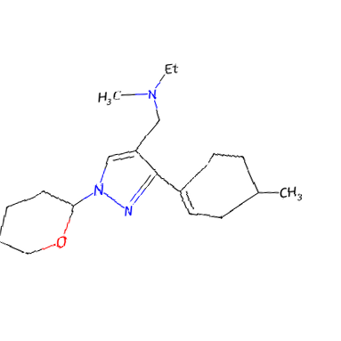 [CH2]CN(C)Cc1cn(C2CCCCO2)nc1C1=CCC(C)CC1